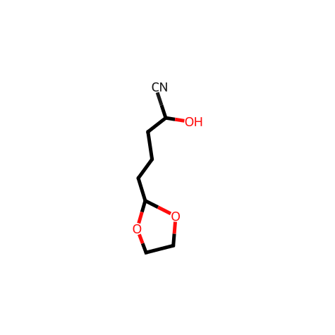 N#CC(O)CCCC1OCCO1